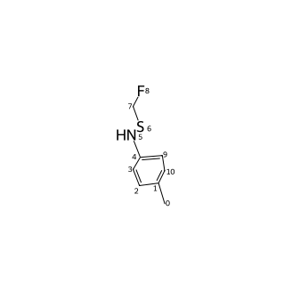 Cc1ccc(NSCF)cc1